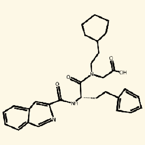 O=C(O)CN(CCC1CCCCC1)C(=O)[C@H](CCc1ccccc1)NC(=O)c1cc2ccccc2cn1